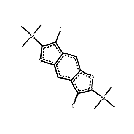 C[Si](C)(C)c1sc2cc3c(I)c([Si](C)(C)C)sc3cc2c1I